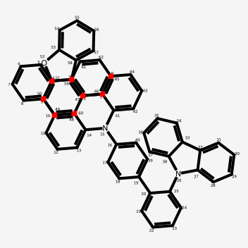 c1ccc(-c2ccccc2-c2cccc(N(c3ccc(-c4ccccc4-n4c5ccccc5c5ccccc54)cc3)c3ccccc3-c3cccc4oc5ccccc5c34)c2)cc1